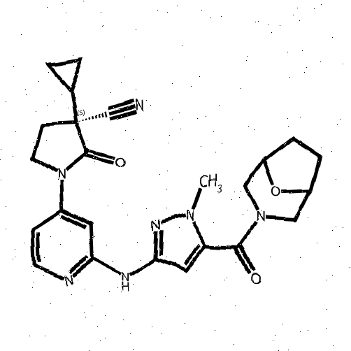 Cn1nc(Nc2cc(N3CC[C@@](C#N)(C4CC4)C3=O)ccn2)cc1C(=O)N1CC2CCC(C1)O2